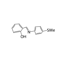 CSc1ccc(/N=C/c2ccccc2O)cc1